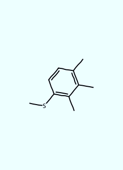 CSc1ccc(C)c(C)c1C